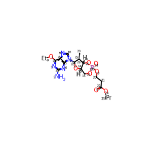 CCOc1nc(N)nc2c1ncn2[C@@H]1O[C@@H]2CO[P@](=O)(OCCC(=O)OC(C)C)O[C@H]2[C@@H]1C